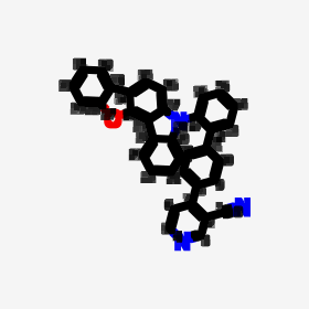 N#Cc1cnccc1-c1ccc(-c2ccccc2-n2c3ccccc3c3c4oc5ccccc5c4ccc32)cc1